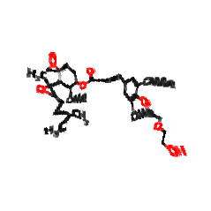 COc1cc(/C=C/C(=O)O[C@@H]2CC[C@]3(CO3)[C@@H]([C@@]3(C)O[C@@H]3CC=C(C)C)[C@@H]2OC)cc(OC)c1OCCOCCO